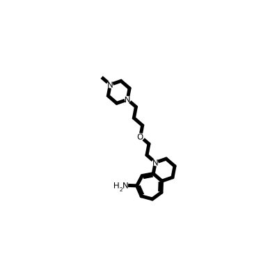 CN1CCN(CCCOCCN2CCCC3=CCC=C(N)C=C32)CC1